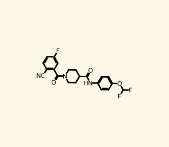 N#Cc1ccc(F)cc1C(=O)N1CCC(C(=O)Nc2ccc(OC(F)F)cc2)CC1